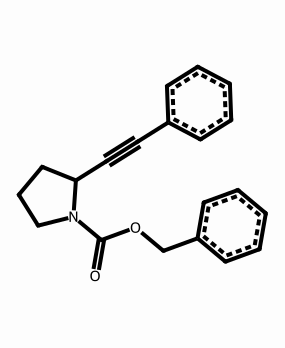 O=C(OCc1ccccc1)N1CCCC1C#Cc1ccccc1